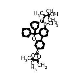 C=C1OB(c2ccc3c(c2)OC(c2ccccc2)(c2ccccc2)c2cc(B(C)OC(C)C(C)(C)O)ccc2-3)OC1(C)C